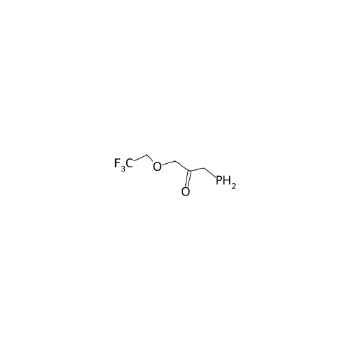 O=C(CP)COCC(F)(F)F